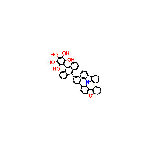 Oc1c(O)c(O)c(-c2c3ccccc3c(-c3ccc(-c4ccc5oc6c(c5c4-n4c5ccccc5c5ccccc54)C=CCC6)cc3)c3ccccc23)c(O)c1O